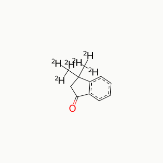 [2H]C([2H])([2H])C1(C([2H])([2H])[2H])CC(=O)c2ccccc21